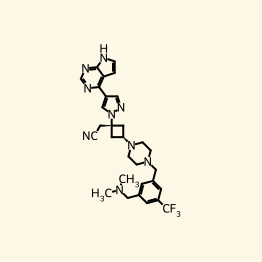 CN(C)Cc1cc(CN2CCN([C@H]3C[C@](CC#N)(n4cc(-c5ncnc6[nH]ccc56)cn4)C3)CC2)cc(C(F)(F)F)c1